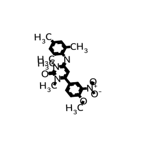 COc1ccc(-c2c/c(=N/c3c(C)cc(C)cc3C)n(C)c(=O)n2C)cc1[N+](=O)[O-]